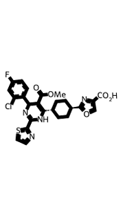 COC(=O)C1=C([C@H]2CC[C@H](c3nc(C(=O)O)co3)CC2)NC(c2nccs2)=NC1c1ccc(F)cc1Cl